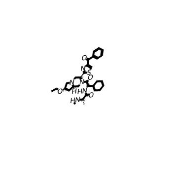 CCO[C@@H]1C[C@@H]2CN(C(=O)[C@@H](NC(=O)[C@H](C)NC)C3CCCCC3)[C@H](c3nc(C(=O)c4ccccc4)cs3)CN2C1